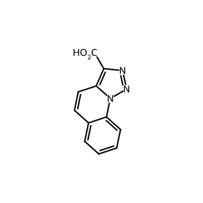 O=C(O)c1nnn2c1ccc1ccccc12